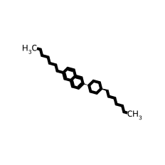 CCCCCCCc1ccc2cc([C@H]3CC[C@H](CCCCCCC)CC3)ccc2c1